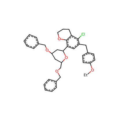 CCOc1ccc(Cc2cc(C3CC(OCc4ccccc4)CC(COCc4ccccc4)O3)c3c(c2Cl)CCCO3)cc1